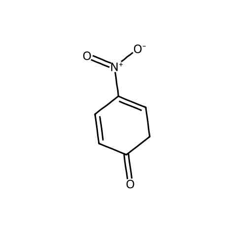 O=C1C=CC([N+](=O)[O-])=CC1